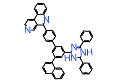 c1ccc(C2=NC(c3cc(-c4ccc(-c5nc6ccccc6c6ccncc56)cc4)cc(-c4cccc5ccccc45)c3)NC(c3ccccc3)N2)cc1